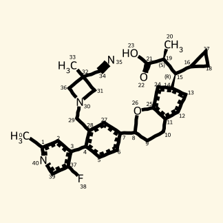 Cc1cc(-c2ccc(C3CCc4ccc([C@H](C5CC5)[C@H](C)C(=O)O)cc4O3)cc2CN2CC(C)(C#N)C2)c(F)cn1